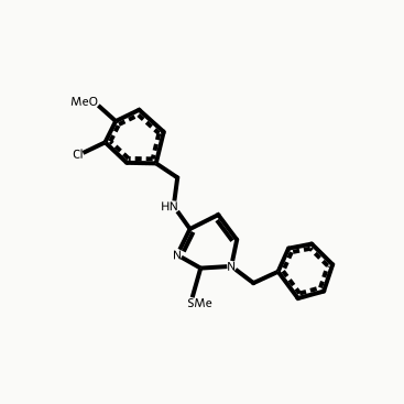 COc1ccc(CNC2=NC(SC)N(Cc3ccccc3)C=C2)cc1Cl